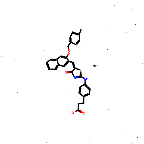 Cc1ccc(COc2cc3ccccc3cc2C=C2SC(Nc3ccc(CCC(=O)[O-])cc3)=NC2=O)cc1.[Na+]